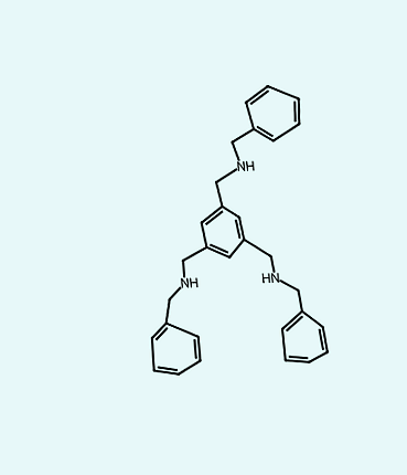 c1ccc(CNCc2cc(CNCc3ccccc3)cc(CNCc3ccccc3)c2)cc1